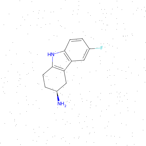 N[C@H]1CCc2[nH]c3ccc(F)cc3c2C1